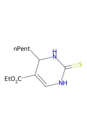 CCCCCC1NC(=S)NC=C1C(=O)OCC